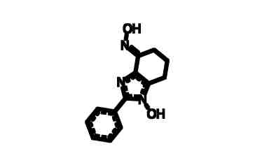 O/N=C1\CCCc2c1nc(-c1ccccc1)n2O